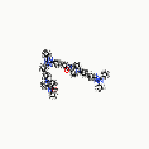 c1ccc(-c2nc(-c3ccccc3)nc(-c3ccc(-c4ccc(-n5c6ccccc6c6c(-c7nc8ccc(-c9ccc(-c%10nc(-c%11ccccc%11)nc(-c%11cccc(-c%12ccc(-n%13c%14ccccc%14c%14c(-c%15nc%16ccccc%16o%15)cccc%14%13)cc%12)c%11)n%10)cc9)cc8o7)cccc65)cc4)cc3)n2)cc1